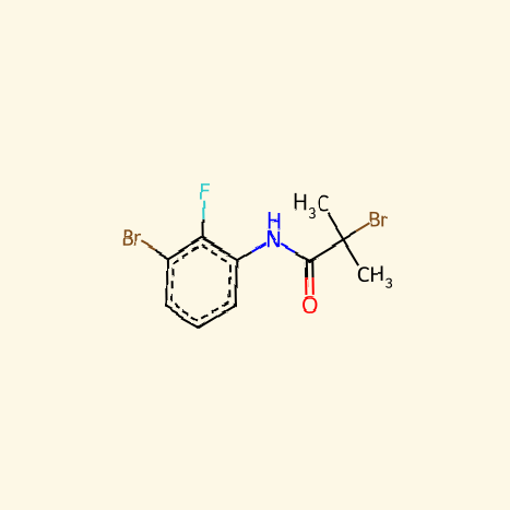 CC(C)(Br)C(=O)Nc1cccc(Br)c1F